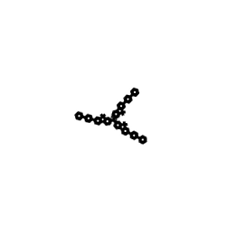 CC1(C)c2cc(-c3ccc(-c4ccccc4)cc3)ccc2-c2ccc(N(c3ccc4c(c3)C(C)(C)c3cc(-c5ccc(-c6ccccc6)cc5)ccc3-4)c3ccc4c(c3)C(C)(C)c3cc(-c5ccc(-c6ccccc6)cc5)ccc3-4)cc21